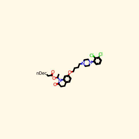 CCCCCCCCCCCC(=O)OC(C)N1C(=O)CCc2ccc(OCCCCN3CCN(c4cccc(Cl)c4Cl)CC3)cc21